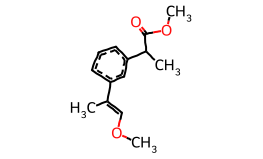 COC=C(C)c1cccc(C(C)C(=O)OC)c1